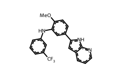 COc1ccc(-c2cc3cccnc3[nH]2)cc1Nc1cccc(C(F)(F)F)c1